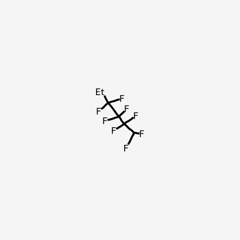 [CH2]CC(F)(F)C(F)(F)C(F)(F)[C](F)F